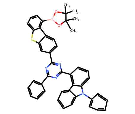 CC1(C)OB(c2cccc3sc4cc(-c5nc(-c6ccccc6)nc(-c6cccc7c6c6ccccc6n7-c6ccccc6)n5)ccc4c23)OC1(C)C